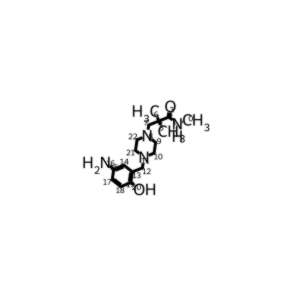 CNC(=O)C(C)(C)CN1CCN(Cc2cc(N)ccc2O)CC1